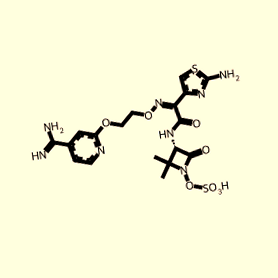 CC1(C)[C@H](NC(=O)C(=NOCCOc2cc(C(=N)N)ccn2)c2csc(N)n2)C(=O)N1OS(=O)(=O)O